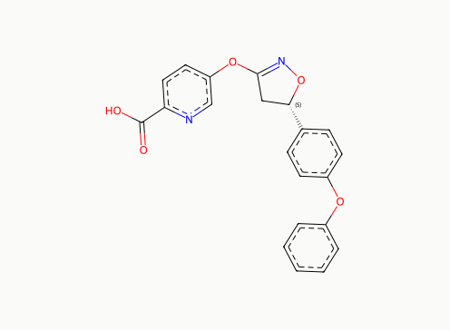 O=C(O)c1ccc(OC2=NO[C@H](c3ccc(Oc4ccccc4)cc3)C2)cn1